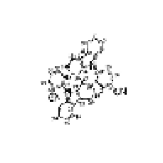 N#Cc1ccc(-n2c3ccccc3c3cccc(C4=CCCc5c6c(n(-c7ccccc7C#N)c54)CCC=C6)c32)cc1